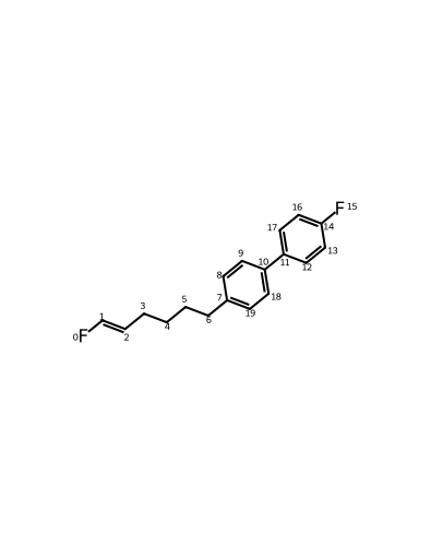 F/C=C/CCCCc1ccc(-c2ccc(F)cc2)cc1